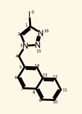 Ic1cn(Cc2ccc3ccccc3c2)nn1